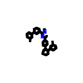 C=N/C(=N\C(C)c1ccc(C2=CCCC=C2c2cccc(C)c2)cc1)c1cccc(-c2cccc(C)c2)c1